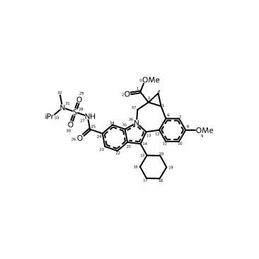 COC(=O)C12CC1c1cc(OC)ccc1-c1c(C3CCCCC3)c3ccc(C(=O)NS(=O)(=O)N(C)C(C)C)cc3n1C2